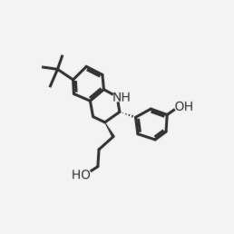 CC(C)(C)c1ccc2c(c1)C[C@H](CCCO)[C@@H](c1cccc(O)c1)N2